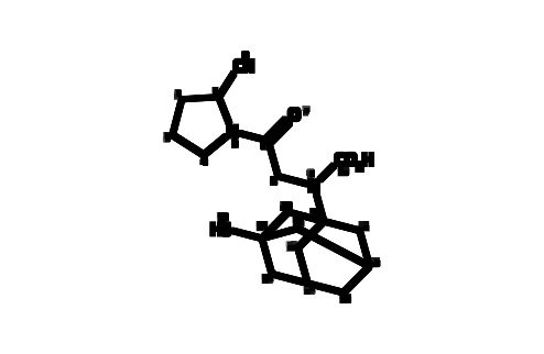 N#CC1CCCN1C(=O)CN(C(=O)O)C12CC3CC(CC(S)(C3)C1)C2